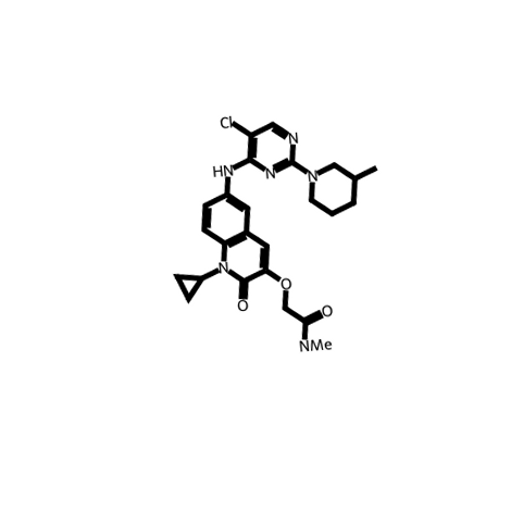 CNC(=O)COc1cc2cc(Nc3nc(N4CCCC(C)C4)ncc3Cl)ccc2n(C2CC2)c1=O